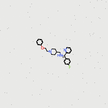 Fc1ccc([C@@H](NCC2CCN(CCOc3ccccc3)CC2)c2ccccn2)cc1